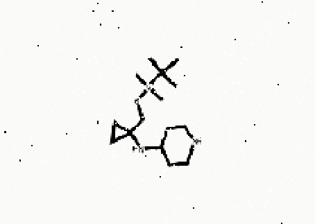 CC(C)(C)[Si](C)(C)OCC1(NC2CCNCC2)CC1